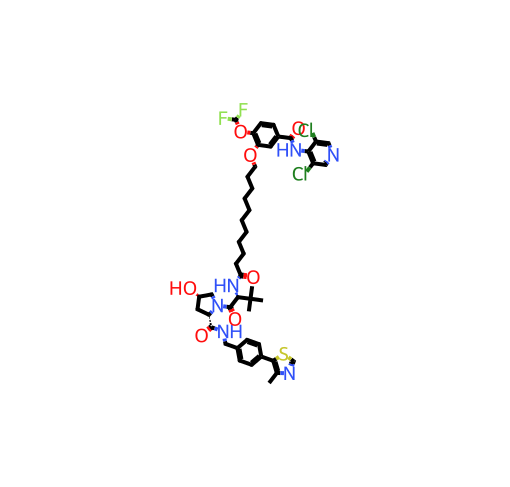 Cc1ncsc1-c1ccc(CNC(=O)[C@@H]2C[C@@H](O)CN2C(=O)[C@@H](NC(=O)CCCCCCCCCCOc2cc(C(=O)Nc3c(Cl)cncc3Cl)ccc2OC(F)F)C(C)(C)C)cc1